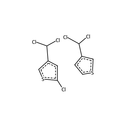 ClC(Cl)c1ccsc1.Clc1cc(C(Cl)Cl)cs1